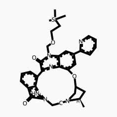 C[C@@H]1CC2CN1CCn1[nH]c3c(cccc3c1=O)-c1nc3c(cc(-c4ccccn4)cc3n(COCC[Si](C)(C)C)c1=O)O2